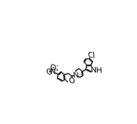 Cc1ccc([N+](=O)[O-])cc1CC(=O)N1CC=C(c2c[nH]c3cc(Cl)ccc23)CC1